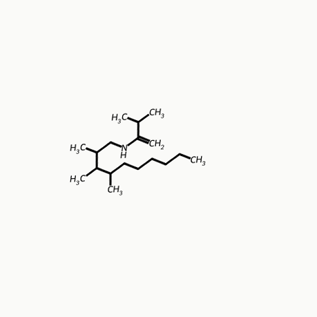 C=C(NCC(C)C(C)C(C)CCCCCC)C(C)C